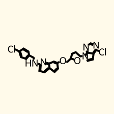 Clc1ccc(CNc2ccc3ccc(OCC4CCC(n5ccc6c(Cl)ncnc65)O4)cc3n2)cc1